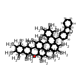 Bc1c(B)c(B)c2c(B)c(-c3c(B)c(B)c(-c4c5c(B)c(B)c(B)c(B)c5c(-c5ccc6oc7ccccc7c6c5)c5c(B)c(B)c(B)c(B)c45)c4c(B)c(B)c(B)c(B)c34)c(B)c(B)c2c1B